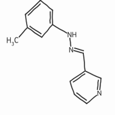 Cc1cccc(N/N=C/c2cccnc2)c1